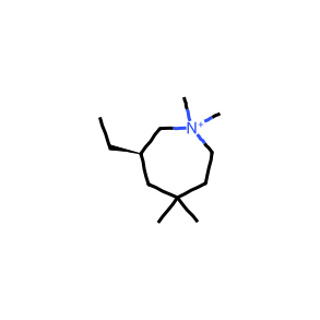 CC[C@@H]1CC(C)(C)CC[N+](C)(C)C1